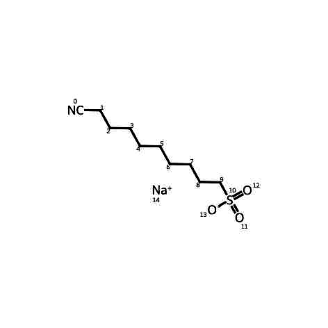 N#CCCCCCCCCCS(=O)(=O)[O-].[Na+]